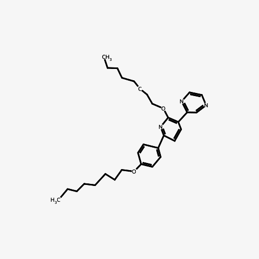 CCCCCCCCOc1ccc(-c2ccc(-c3cnccn3)c(OCCCCCCCC)n2)cc1